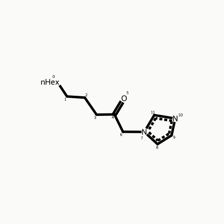 CCCCCCCCCC(=O)Cn1ccnc1